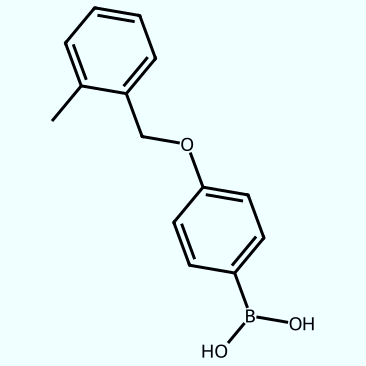 Cc1ccccc1COc1ccc(B(O)O)cc1